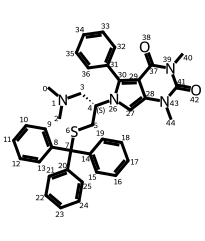 CN(C)C[C@@H](CSC(c1ccccc1)(c1ccccc1)c1ccccc1)n1cc2c(c1-c1ccccc1)c(=O)n(C)c(=O)n2C